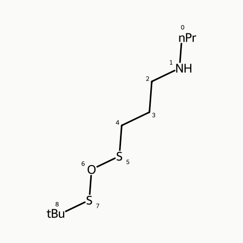 CCCNCCCSOSC(C)(C)C